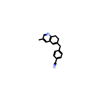 Cc1cnc2c(c1)C=C(Cc1ccc(C#N)cc1)CC2